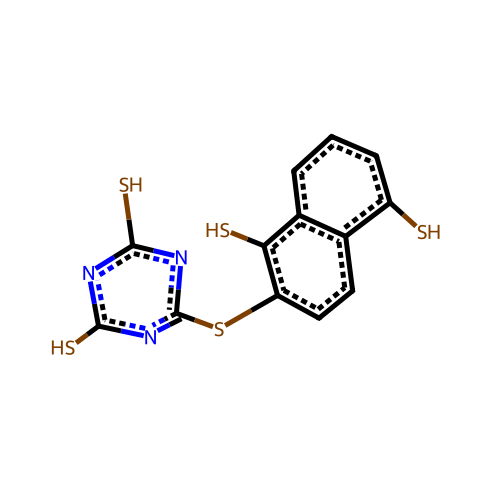 Sc1nc(S)nc(Sc2ccc3c(S)cccc3c2S)n1